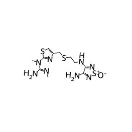 CN=C(N)N(C)c1nc(CSCCNc2n[s+]([O-])nc2N)cs1